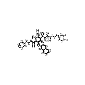 CN1CCN(CCCNC(=O)c2cn3c4c(c(NCCCN5CCOCC5)c(F)c(N)c4c2=O)Oc2cc4ccccc4cc2-3)CC1